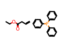 C=CCC(=O)OCC.c1ccc(P(c2ccccc2)c2ccccc2)cc1